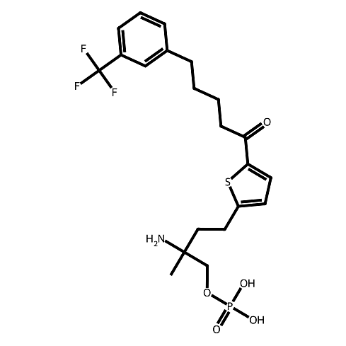 CC(N)(CCc1ccc(C(=O)CCCCc2cccc(C(F)(F)F)c2)s1)COP(=O)(O)O